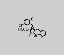 Cc1nc(Cc2cccnc2Br)n(Cc2cc(Cl)ccc2Cl)c1C(=O)O